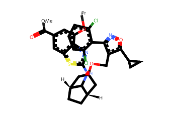 COC(=O)c1cc(OC(C)C)c2nc(NC3[C@@H]4CC[C@H]3CC(OCc3c(-c5c(Cl)cccc5Cl)noc3C3CC3)C4)sc2c1